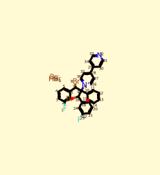 Br.Fc1cccc(C(Br)C(c2ccccc2)(C(Br)c2cccc(F)c2)[n+]2ccc(-c3ccncc3)cc2)c1.[Br-]